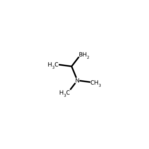 BC(C)N(C)C